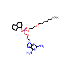 CCCCCCCCCCCCCCCCOCCCOP(=O)(COCCn1cnc2c(N)nc(N)nc21)Oc1cccc2ccccc12